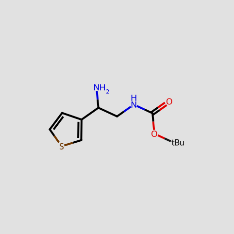 CC(C)(C)OC(=O)NCC(N)c1ccsc1